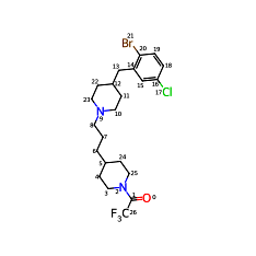 O=C(N1CCC(CCCN2CCC(Cc3cc(Cl)ccc3Br)CC2)CC1)C(F)(F)F